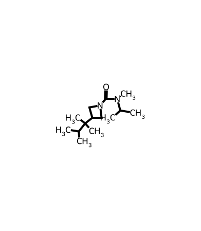 CC(C)N(C)C(=O)N1CC(C(C)(C)C(C)C)C1